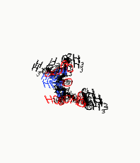 CC(C)(C)OC(=O)NCC(NC(=O)OC(C)(C)C)C(=O)N[C@H]1CN(C(=O)O)[C@@](CCCCB2OC(C)(C)C(C)(C)O2)(C(=O)O)C1